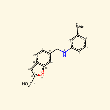 CSc1cccc(NCc2ccc3cc(C(=O)O)oc3c2)c1